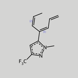 C=C/C=C(\C=C/C)c1cc(C(F)(F)F)nn1C